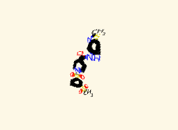 Cc1nc2cc(NC(=O)C3CCN(S(=O)(=O)c4cccc(S(C)(=O)=O)c4)CC3)ccc2s1